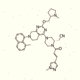 Cc1cccc2cccc(N3CCc4c(nc(OCC5CCCN5C)nc4N4CCN(C(=O)/C=C/c5cnn(C)c5)[C@@H](CC#N)C4)C3)c12